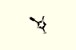 C#Cc1nc(Br)cn1C